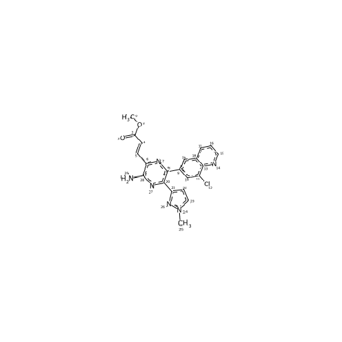 COC(=O)C=Cc1nc(-c2cc(Cl)c3ncccc3c2)c(-c2ccn(C)n2)nc1N